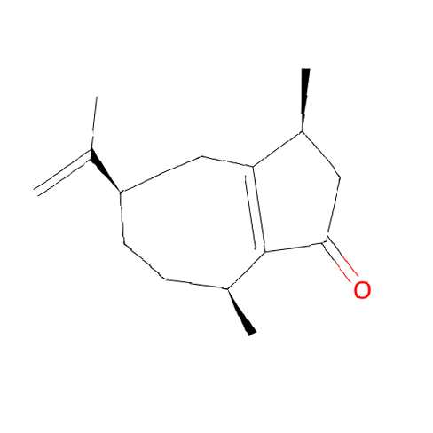 C=C(C)[C@@H]1CC[C@H](C)C2=C(C1)[C@@H](C)CC2=O